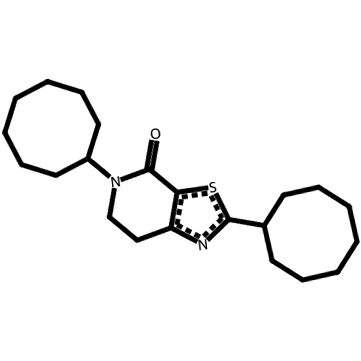 O=C1c2sc(C3CCCCCCC3)nc2CCN1C1CCCCCCC1